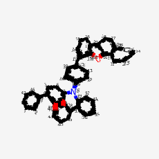 c1ccc(-c2ccc(N(c3ccc(-c4cccc5c4oc4c6ccccc6ccc54)cc3)c3ccccc3-c3ccccc3)cc2)cc1